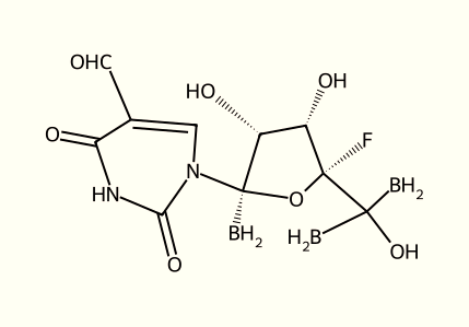 BC(B)(O)[C@@]1(F)O[C@@](B)(n2cc(C=O)c(=O)[nH]c2=O)[C@H](O)[C@@H]1O